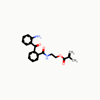 C=C(C)C(=O)OCCNC(=O)c1ccccc1C(=O)c1ccccc1N